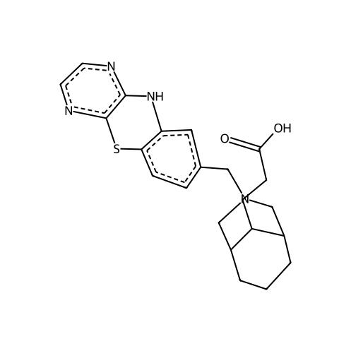 O=C(O)CCC1C2CCCC1CN(Cc1ccc3c(c1)Nc1nccnc1S3)C2